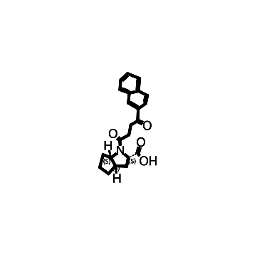 O=C(CCC(=O)N1[C@H](C(=O)O)C[C@@H]2CCC[C@@H]21)c1ccc2ccccc2c1